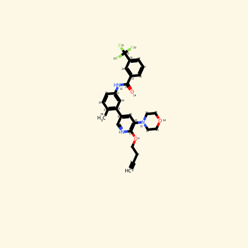 C#CCCOc1ncc(-c2cc(NC(=O)c3cccc(C(F)(F)F)c3)ccc2C)cc1N1CCOCC1